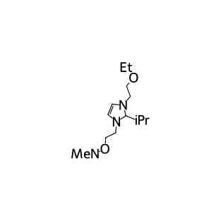 CCOCCN1C=CN(CCONC)C1C(C)C